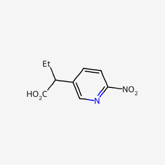 CCC(C(=O)O)c1ccc([N+](=O)[O-])nc1